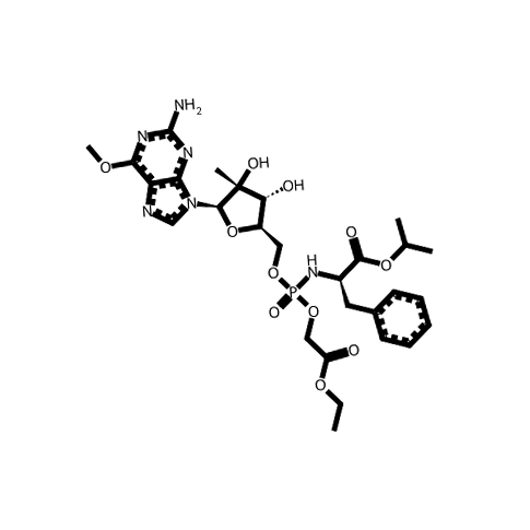 CCOC(=O)COP(=O)(N[C@H](Cc1ccccc1)C(=O)OC(C)C)OC[C@H]1O[C@@H](n2cnc3c(OC)nc(N)nc32)[C@](C)(O)[C@@H]1O